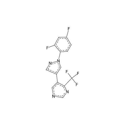 Fc1ccc(-n2cc(-c3cncnc3C(F)(F)F)cn2)c(F)c1